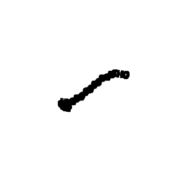 O=CCOCCOCCOCCOCCOCCOCCOCCOCCOCCOCCNC(=O)CN1C(=O)C=CC1=O